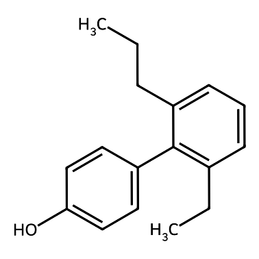 CCCc1cccc(CC)c1-c1ccc(O)cc1